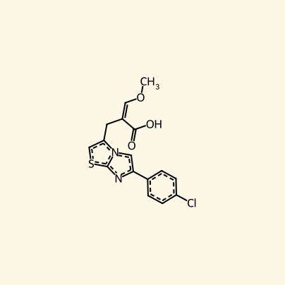 CO/C=C(/Cc1csc2nc(-c3ccc(Cl)cc3)cn12)C(=O)O